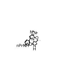 CCCNc1ccc(-c2cc3ncn(C)c3c(O[C@H](C)[C@H]3CNC(=O)C3)n2)cn1